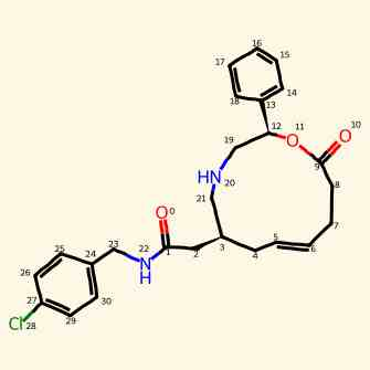 O=C(C[C@@H]1C/C=C/CCC(=O)O[C@H](c2ccccc2)CNC1)NCc1ccc(Cl)cc1